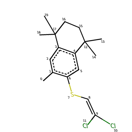 Cc1cc2c(cc1SC=C(Cl)Cl)C(C)(C)CCC2(C)C